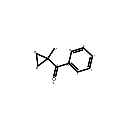 CC1(C(=O)c2ccccc2)CC1